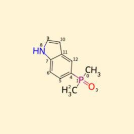 CP(C)(=O)c1ccc2[nH]ccc2c1